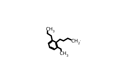 [CH2]CCCc1c(CC)cccc1CCC